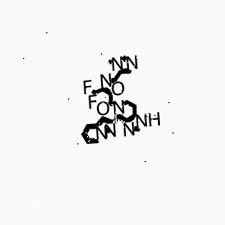 Cn1cncc1-c1nc(C(F)F)c(C(=O)N2CCc3[nH]cnc3[C@@H]2c2cc3ccccn3n2)o1